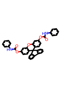 O=C(Nc1ccccc1)Oc1ccc2c(c1)Oc1cc(OC(=O)Nc3ccccc3)ccc1C21c2ccccc2-c2ccccc21